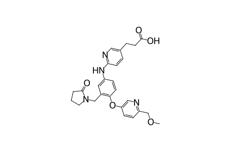 COCc1ccc(Oc2ccc(Nc3ccc(CCC(=O)O)cn3)cc2CN2CCCC2=O)cn1